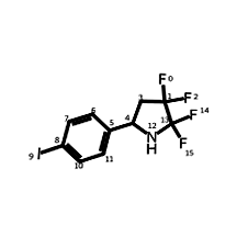 FC1(F)CC(c2ccc(I)cc2)NC1(F)F